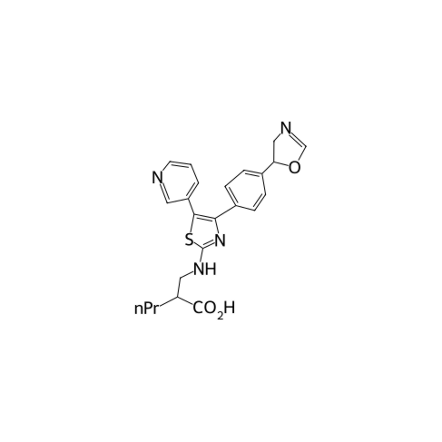 CCCC(CNc1nc(-c2ccc(C3CN=CO3)cc2)c(-c2cccnc2)s1)C(=O)O